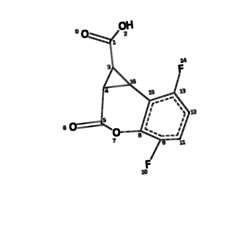 O=C(O)C1C2C(=O)Oc3c(F)ccc(F)c3C12